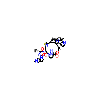 CCn1c(-c2cccnc2[C@H](C)OC)c2c3cc(ccc31)-c1csc(n1)C[C@H](NC(=O)C(C(C)C)N(C)C(=O)N1CCC3=C1CN(C)C3)C(=O)N1CCC[C@H](N1)C(=O)OCC(C)(C)C2